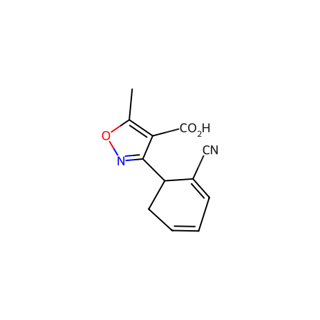 Cc1onc(C2CC=CC=C2C#N)c1C(=O)O